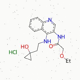 CCOCC(=O)Nc1cnc2ccccc2c1NCCC1(O)CC1.Cl